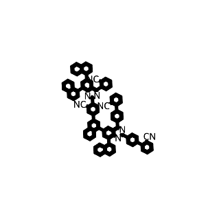 N#Cc1ccccc1-c1ccc(-c2nc(-c3ccc(-c4ccccc4C#N)cc3)c3cc(-c4cc(-c5ccc(-c6nc(-c7ccccc7C#N)c7cc(-c8cccc9ccccc89)cc(-c8cccc9ccccc89)c7n6)c(C#N)c5)cc5ccccc45)cc(-c4cccc5ccccc45)c3n2)cc1